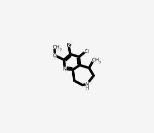 COc1nc2c(c(Cl)c1Br)C(C)CNCC2